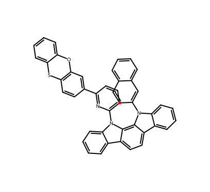 c1cc(-c2ccc3c(c2)Oc2ccccc2S3)nc(-n2c3ccccc3c3ccc4c5ccccc5n(-c5ccc6ccccc6c5)c4c32)c1